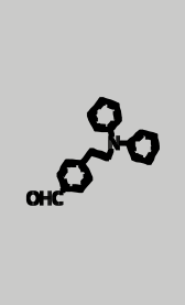 O=Cc1ccc(C=CN(c2ccccc2)c2ccccc2)cc1